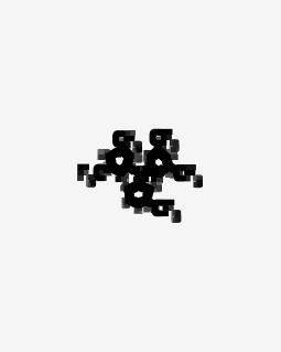 FC(F)(F)c1cccc([SH](c2cc(C(F)(F)F)cc(C(F)(F)F)c2)c2cc(C(F)(F)F)cc(C(F)(F)F)c2)c1